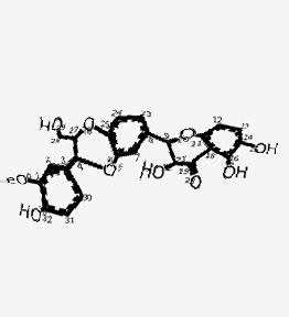 COc1cc(C2Oc3cc(C4Oc5ccc(O)c(O)c5C(=O)C4O)ccc3OC2CO)ccc1O